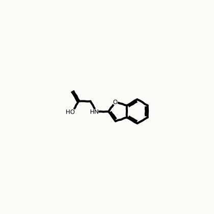 C=C(O)CNc1cc2ccccc2o1